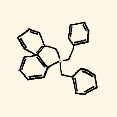 [c]1ccc([Si](Cc2ccccc2)(Cc2ccccc2)Cc2ccccc2)cc1